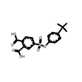 CC(C)(C)c1ccc(OS(=O)(=O)c2ccc(C(=O)O)c(C(=O)O)c2)cc1